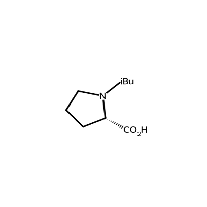 CCC(C)N1CCC[C@H]1C(=O)O